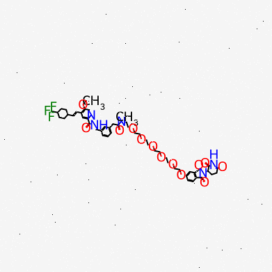 COc1cnc(C(=O)NCc2cccc(CC(=O)N(C)CCOCCOCCOCCOCCOCCOc3ccc4c(c3)C(=O)N(C3CCC(=O)NC3=O)C4=O)c2)cc1C=CC1CCC(C(F)(F)F)CC1